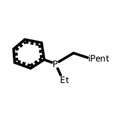 CCCC(C)CP(CC)c1ccccc1